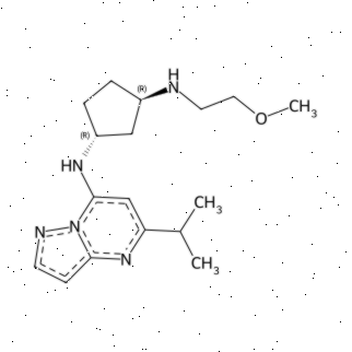 COCCN[C@@H]1CC[C@@H](Nc2cc(C(C)C)nc3ccnn23)C1